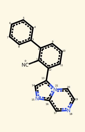 N#Cc1c(-c2ccccc2)cccc1-c1cnc2cnccn12